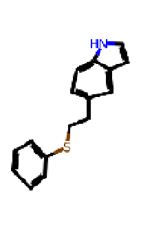 c1ccc(SCCc2ccc3[nH]ccc3c2)cc1